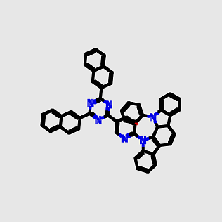 C1=CC2c3ccccc3N(c3ccccc3)C2c2c1c1ccccc1n2-c1ccc(-c2nc(-c3ccc4ccccc4c3)nc(-c3ccc4ccccc4c3)n2)cn1